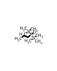 [CH2]CCP(=O)([Si](C)(C)C)[Si](C)(C)C